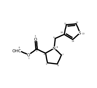 O=COC(=O)C1CCCN1Cc1ccsc1